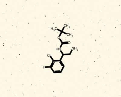 CC(C)(C)OC(=O)NC(CN)c1cccc(F)c1Cl